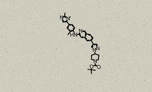 Cc1cc(-c2cnc(C)n2C)ccc1Nc1cc2cc(-c3cnn(C4CCN(C(=O)OC(C)(C)C)CC4)c3)ccc2cn1